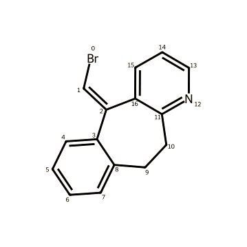 BrC=C1c2ccccc2CCc2ncccc21